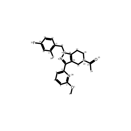 COc1cccc(-c2nn(Cc3ccc(F)cc3F)c3c2CN(C(C)=O)CC3)n1